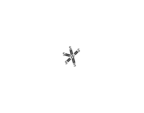 [S]=[W](=[S])(=[S])(=[S])=[S]